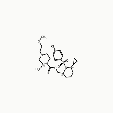 COCCN1CCN(C(=O)OC[C@@H]2CCC[C@H](C3CC3)N2S(=O)(=O)c2ccc(Cl)cc2)[C@@H](C)C1